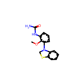 COc1c(NC(N)=O)cccc1N1CSc2ccccc21